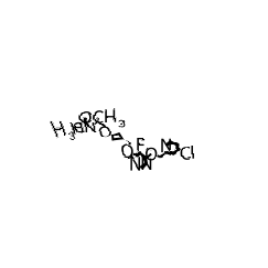 CC(=O)N[C@@H](C)CO[C@H]1C[C@H](COc2ncnc(OCc3cc(Cl)ccn3)c2F)C1